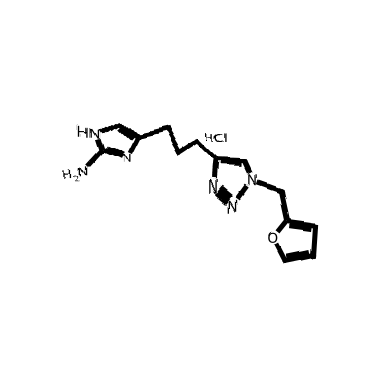 Cl.Nc1nc(CCCc2cn(Cc3ccco3)nn2)c[nH]1